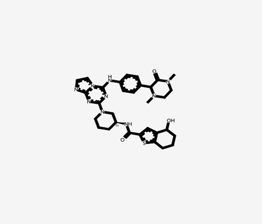 CN1CCN(C)C(c2ccc(Nc3nc(N4CCC[C@H](NC(=O)c5cc6c(s5)CCCC6O)C4)nc4nccn34)cc2)C1=O